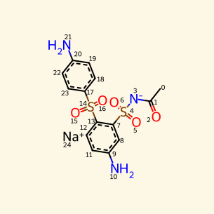 CC(=O)[N-]S(=O)(=O)c1cc(N)ccc1S(=O)(=O)c1ccc(N)cc1.[Na+]